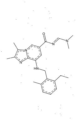 CCc1cccc(C)c1CNc1cc(C(=O)N=CN(C)C)cn2c(C)c(C)nc12